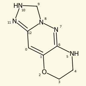 C1=C2OCCNC2=NN2CNN=C12